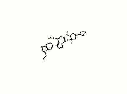 COc1nc(N[C@@H]2CN(C3COC3)CC2(F)F)nn2ccc(-c3ccc4ncn(CCF)c4c3)c12